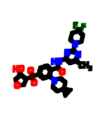 Cc1cc(NC(=O)c2ccc(S(=O)(=O)C3COC[C@@H]3O)cc2N2CCC3(CC2)CC3)nc(N2CCC(F)(F)CC2)n1